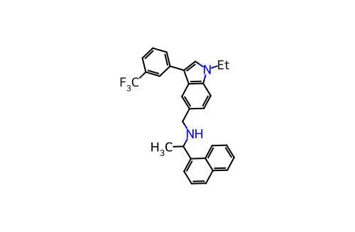 CCn1cc(-c2cccc(C(F)(F)F)c2)c2cc(CNC(C)c3cccc4ccccc34)ccc21